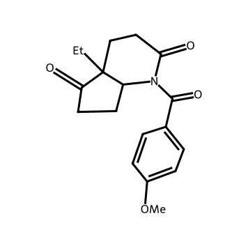 CCC12CCC(=O)N(C(=O)c3ccc(OC)cc3)C1CCC2=O